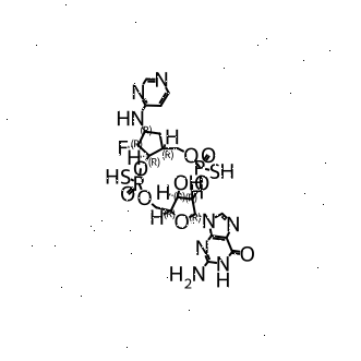 Nc1nc2c(ncn2[C@@H]2O[C@@H]3COP(=O)(S)O[C@@H]4[C@@H](COP(=O)(S)O[C@@H]2[C@@H]3O)C[C@@H](Nc2ccncn2)[C@H]4F)c(=O)[nH]1